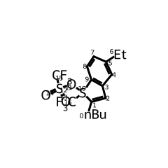 CCCCC1=Cc2cc(CC)ccc2S1(OS(=O)(=O)C(F)(F)F)C(F)(F)F